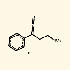 CNCCC(=C=O)c1ccccc1.Cl